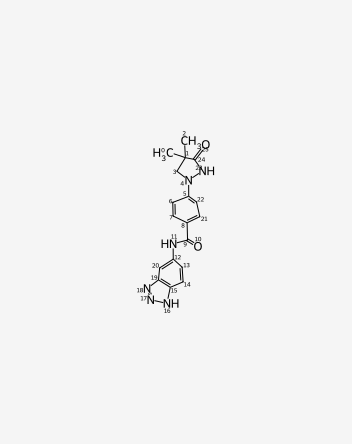 CC1(C)CN(c2ccc(C(=O)Nc3ccc4[nH]nnc4c3)cc2)NC1=O